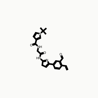 C=Cc1ccc(C2=CCC(NC(=O)CNC(=O)c3ccn(C(C)(C)C)c3)=N2)cc1C=O